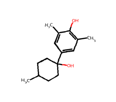 Cc1cc(C2(O)CCC(C)CC2)cc(C)c1O